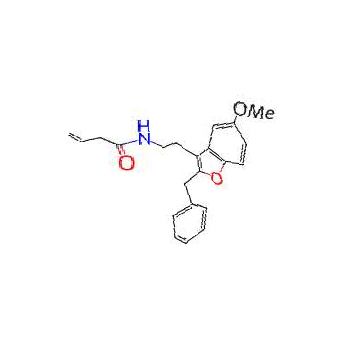 C=CCC(=O)NCCc1c(Cc2ccccc2)oc2ccc(OC)cc12